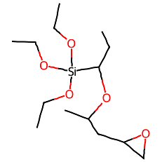 CCO[Si](OCC)(OCC)C(CC)OC(C)CC1CO1